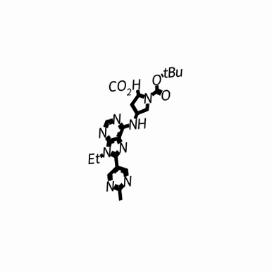 CCn1c(-c2cnc(C)nc2)nc2c(NC3CC(C(=O)O)N(C(=O)OC(C)(C)C)C3)ncnc21